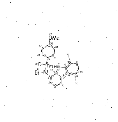 CCN(c1cccc2c1[nH]c1c(C)ccc(C)c12)S(=O)(=O)c1ccc(OC)cc1